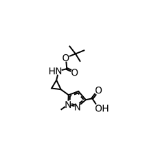 Cn1nc(C(=O)O)cc1C1CC1NC(=O)OC(C)(C)C